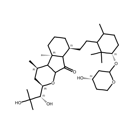 CC1CC[C@H](OC2C[C@@H](O)CCO2)C(C)(C)C1CC[C@@H]1CCC[C@@]2(C)C1C(=O)C1O[C@@H]([C@H](O)C(C)(C)O)C[C@@H](C)C12